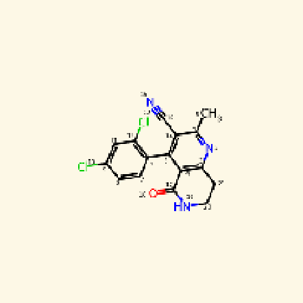 Cc1nc2c(c(-c3ccc(Cl)cc3Cl)c1C#N)C(=O)NCC2